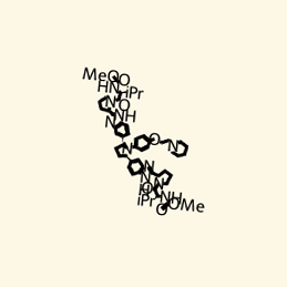 COC(=O)N[C@H](C(=O)N1CCCC1c1nc2cc([C@H]3CC[C@H](c4ccc5[nH]c(C6CCCN6C(=O)[C@@H](NC(=O)OC)C(C)C)nc5c4)N3c3ccc(OCCN4CCCCC4)cc3)ccc2[nH]1)C(C)C